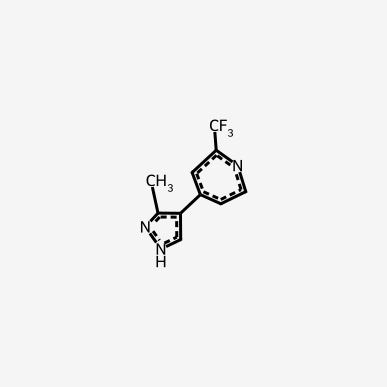 Cc1n[nH]cc1-c1ccnc(C(F)(F)F)c1